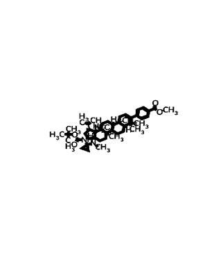 C=C(C)[C@@H]1CC[C@]2(N(C)C3(NC(=O)OC(C)(C)C)CC3)CC[C@]3(C)[C@H](CC[C@@H]4[C@@]5(C)CC=C(c6ccc(C(=O)OC)cc6)C(C)(C)[C@@H]5CC[C@]43C)[C@@H]12